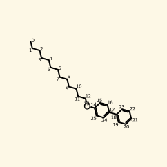 CCCCCCCCCCCCCOc1ccc(-c2cc[c]cc2)cc1